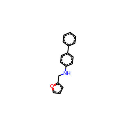 c1ccc(-c2ccc(NCc3ccco3)cc2)cc1